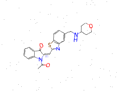 CC(=O)N1/C(=C/c2nc3cc(CNC4CCOCC4)ccc3s2)C(=O)c2ccccc21